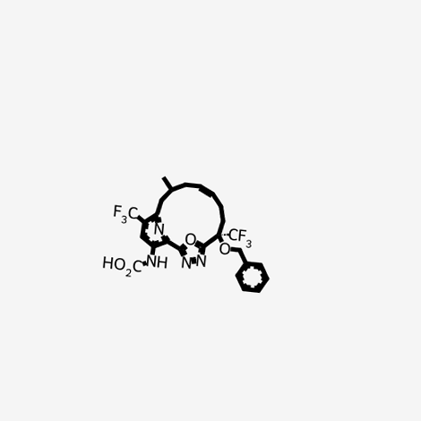 CC1CC=CCC[C@](OCc2ccccc2)(C(F)(F)F)c2nnc(o2)-c2nc(c(C(F)(F)F)cc2NC(=O)O)C1